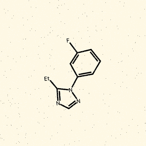 CCc1ncnn1-c1cccc(F)c1